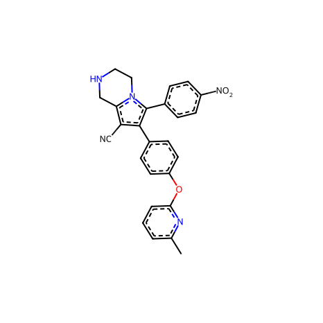 Cc1cccc(Oc2ccc(-c3c(C#N)c4n(c3-c3ccc([N+](=O)[O-])cc3)CCNC4)cc2)n1